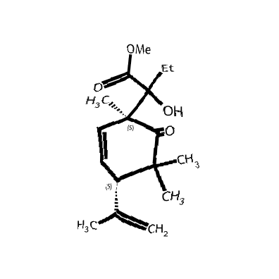 C=C(C)[C@@H]1C=C[C@@](C)(C(O)(CC)C(=O)OC)C(=O)C1(C)C